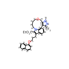 CCOC(=O)c1c(CCCOc2cccc3ccccc23)c2cccc3c2n1CCCCOCc1c-3c(C(F)(F)F)nn1C